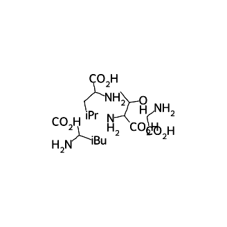 CC(C)CC(N)C(=O)O.CC(O)C(N)C(=O)O.CCC(C)C(N)C(=O)O.NCC(=O)O